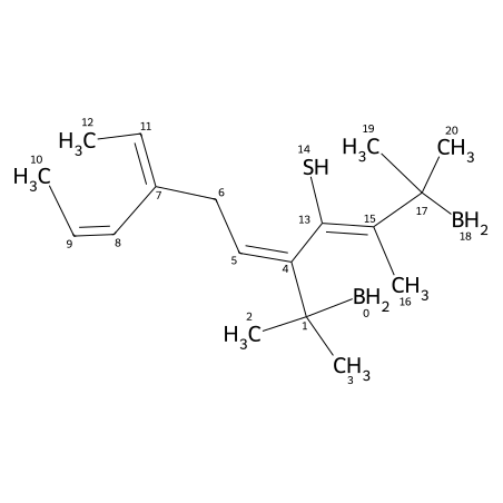 BC(C)(C)C(=C/CC(/C=C\C)=C/C)/C(S)=C(\C)C(B)(C)C